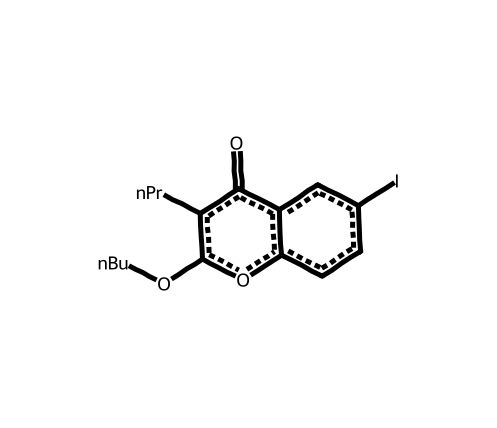 CCCCOc1oc2ccc(I)cc2c(=O)c1CCC